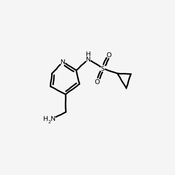 NCc1ccnc(NS(=O)(=O)C2CC2)c1